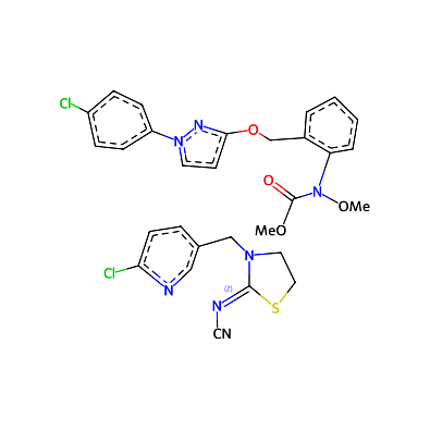 COC(=O)N(OC)c1ccccc1COc1ccn(-c2ccc(Cl)cc2)n1.N#C/N=C1\SCCN1Cc1ccc(Cl)nc1